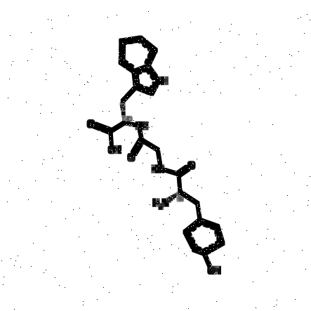 N[C@@H](Cc1ccc(O)cc1)C(=O)NCC(=O)N[C@@H](Cc1c[nH]c2ccccc12)C(=O)O